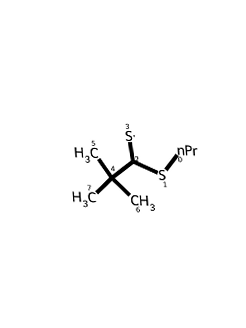 CCCSC([S])C(C)(C)C